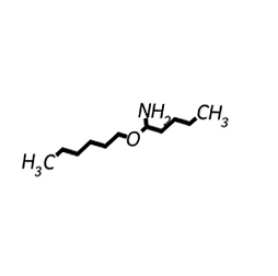 CCCCCCOC(N)CCCC